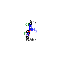 COc1ccc(CN2C(=O)CCc3c(OCC4(N)CCN(c5ccc(C(F)(F)F)cc5Cl)CC4)ccc(F)c32)cc1